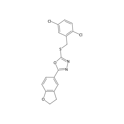 Clc1ccc(Cl)c(CSc2nnc(-c3ccc4c(c3)CCO4)o2)c1